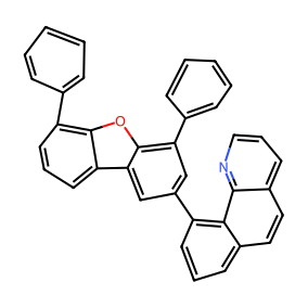 c1ccc(-c2cccc3c2oc2c(-c4ccccc4)cc(-c4cccc5ccc6cccnc6c45)cc23)cc1